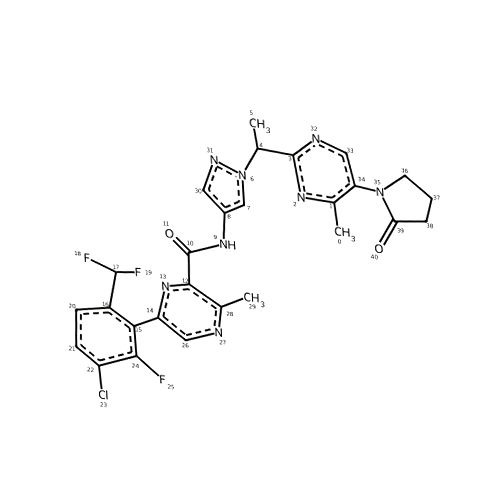 Cc1nc(C(C)n2cc(NC(=O)c3nc(-c4c(C(F)F)ccc(Cl)c4F)cnc3C)cn2)ncc1N1CCCC1=O